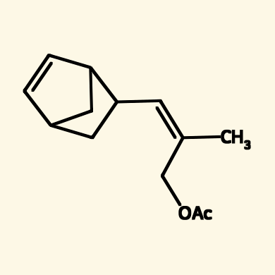 CC(=O)OCC(C)=CC1CC2C=CC1C2